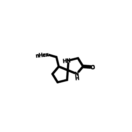 CCCCCCCC1CCCC12NCC(=O)N2